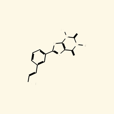 CCCn1c(=O)c2nc(-c3cccc(/C=C/C(=O)O)c3)[nH]c2n(CCC)c1=O